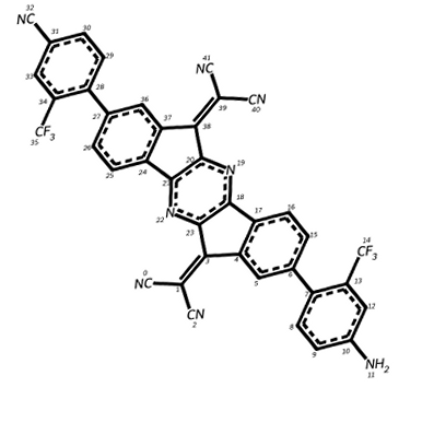 N#CC(C#N)=C1c2cc(-c3ccc(N)cc3C(F)(F)F)ccc2-c2nc3c(nc21)-c1ccc(-c2ccc(C#N)cc2C(F)(F)F)cc1C3=C(C#N)C#N